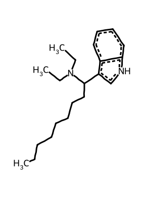 CCCCCCCCC(c1c[nH]c2ccccc12)N(CC)CC